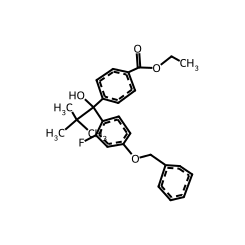 CCOC(=O)c1ccc(C(O)(c2ccc(OCc3ccccc3)cc2F)C(C)(C)C)cc1